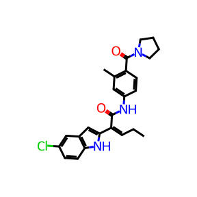 CCC=C(C(=O)Nc1ccc(C(=O)N2CCCC2)c(C)c1)c1cc2cc(Cl)ccc2[nH]1